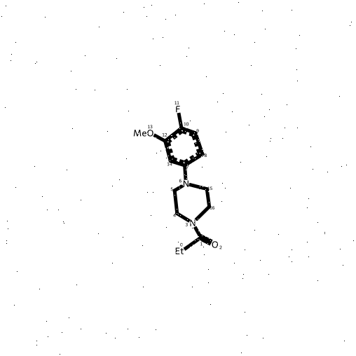 CCC(=O)N1CCN(c2ccc(F)c(OC)c2)CC1